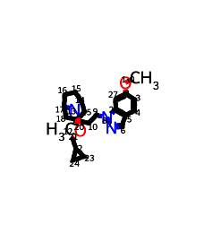 COc1ccc2cnn(CC[C@@H](C)N3C4CCC3CC(OCC3CC3)C4)c2c1